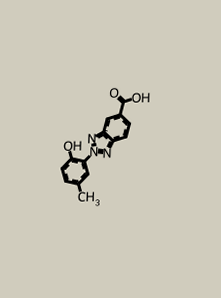 Cc1ccc(O)c(-n2nc3ccc(C(=O)O)cc3n2)c1